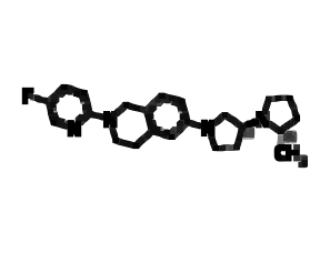 C[C@H]1CCCN1[C@H]1CCN(c2ccc3c(c2)CCN(c2ccc(F)cn2)C3)C1